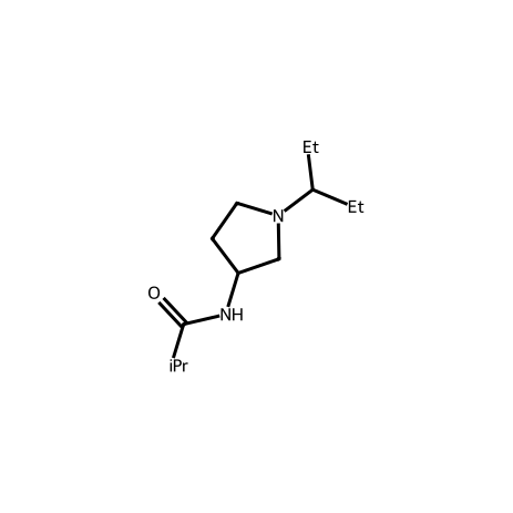 CCC(CC)N1CCC(NC(=O)C(C)C)C1